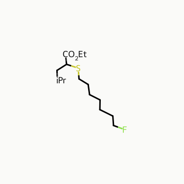 CCOC(=O)C(CC(C)C)SCCCCCCCF